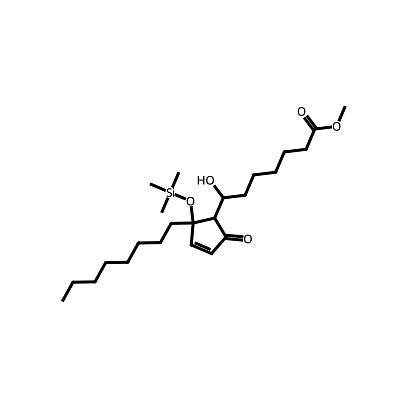 CCCCCCCCC1(O[Si](C)(C)C)C=CC(=O)C1C(O)CCCCCC(=O)OC